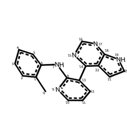 Cc1ccccc1Nc1ncccc1-c1ncnc2[nH]ccc12